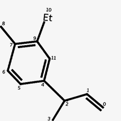 C=C[C](C)c1ccc(C)c(CC)c1